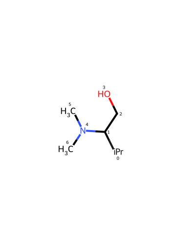 CC(C)C(CO)N(C)C